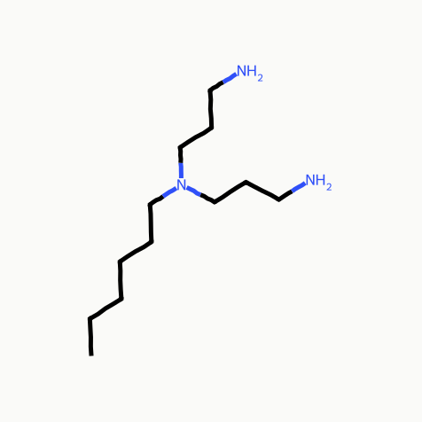 CCCCCCN(CCCN)CCCN